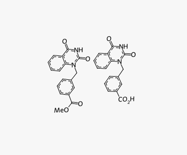 COC(=O)c1cccc(Cn2c(=O)[nH]c(=O)c3ccccc32)c1.O=C(O)c1cccc(Cn2c(=O)[nH]c(=O)c3ccccc32)c1